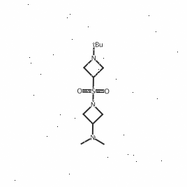 CN(C)C1CN(S(=O)(=O)C2CN(C(C)(C)C)C2)C1